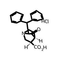 Cl.O=C(O)[C@H]1CN2CC[C@@H]1C(=O)C2C(c1ccccc1)c1ccccc1